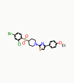 CCOc1ccc(-c2csc(N3CCC(S(=O)(=O)c4ccc(Br)cc4Cl)CC3)n2)cc1